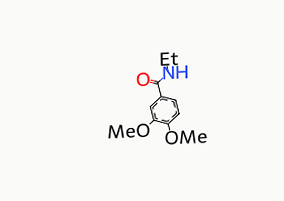 CCNC(=O)c1ccc(OC)c(OC)c1